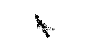 COC(=O)[C@H](Cc1ccc(OCc2ccccc2)cc1)NC(=O)c1cn2cc(-c3ccncc3)ccc2n1